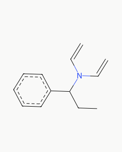 C=CN(C=C)C(CC)c1ccccc1